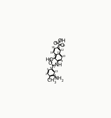 Cc1ccc(C(=O)Nc2ccc3cc(S(=O)(=O)O)ccc3c2O)cc1N